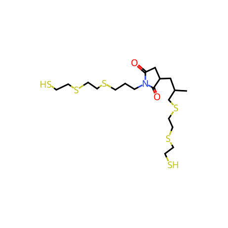 CC(CSCCSCCS)CC1CC(=O)N(CCCSCCSCCS)C1=O